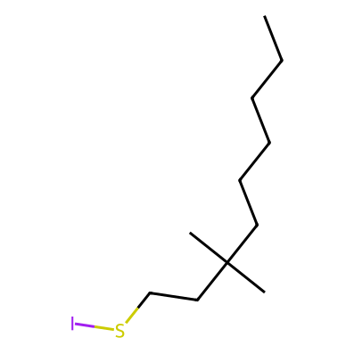 CCCCCCC(C)(C)CCSI